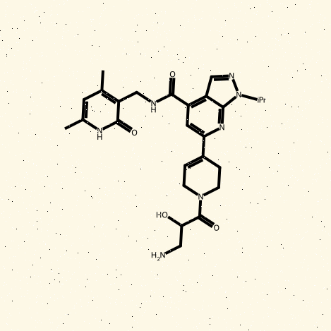 Cc1cc(C)c(CNC(=O)c2cc(C3=CCN(C(=O)C(O)CN)CC3)nc3c2cnn3C(C)C)c(=O)[nH]1